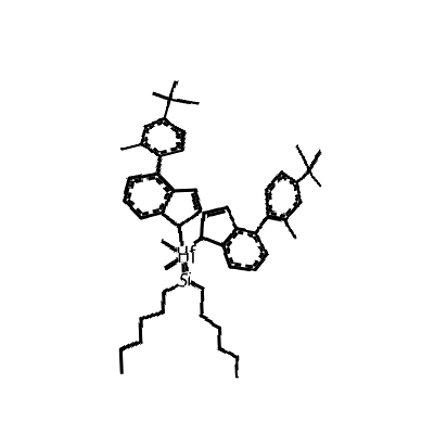 CCCCCC[Si](CCCCCC)=[Hf]([CH3])([CH3])([CH]1C=Cc2c(-c3ccc(C(C)(C)C)cc3C)cccc21)[CH]1C=Cc2c(-c3ccc(C(C)(C)C)cc3C)cccc21